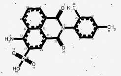 Cc1ccc(N2C(=O)c3cccc4c(N)c(S(=O)(=O)O)cc(c34)C2=O)c(C)c1